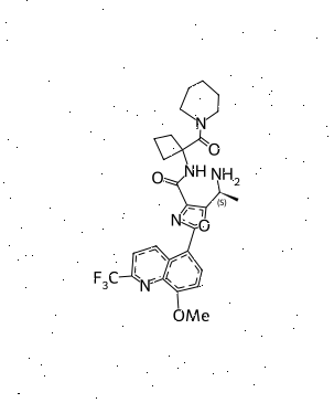 COc1ccc(-c2nc(C(=O)NC3(C(=O)N4CCCCC4)CCC3)c([C@H](C)N)o2)c2ccc(C(F)(F)F)nc12